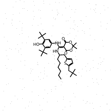 CCCCCCC(Cc1ccc(CC(C)(C)C)s1)NC(Nc1cc(C(C)(C)C)c(O)c(C(C)(C)C)c1)=C1C(=O)OC(C)(C)OC1=O